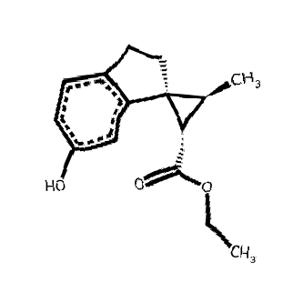 CCOC(=O)[C@H]1[C@H](C)[C@@]12CCc1ccc(O)cc12